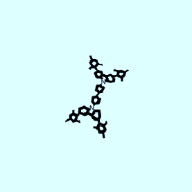 Cc1cc(C)c(-c2ccc3c(c2)c2cc(-c4c(C)cc(C)cc4C)ccc2n3-c2ccc(-c3ccc(-n4c5ccc(-c6c(C)cc(C)cc6C)cc5c5cc(-c6c(C)cc(C)cc6C)ccc54)cc3)cc2)c(C)c1